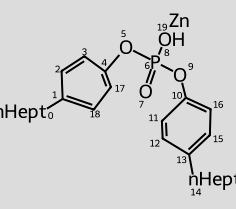 CCCCCCCc1ccc(OP(=O)(O)Oc2ccc(CCCCCCC)cc2)cc1.[Zn]